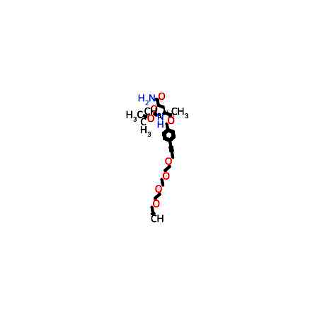 C#CCOCCOCCOCCOCC#Cc1ccc(CO[C@H](C)[C@H](CCC(N)=O)NC(=O)OC(C)(C)C)cc1